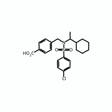 CC(C1CCCCC1)N(Cc1ccc(C(=O)O)cc1)S(=O)(=O)c1ccc(Cl)cc1